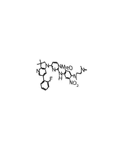 COc1cc(N(C)CCN(C)C)c([N+](=O)[O-])cc1Nc1nccc(N2CC(C)(C)c3ncc(-c4ccccc4F)cc32)n1